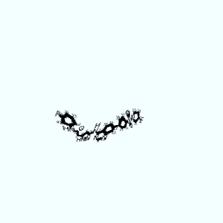 O=C(Cc1cc(Nc2ncnc3cc(-c4ccc(S(=O)(=O)N5CC[C@H](F)C5)cc4)ccc23)n[nH]1)Nc1cccc(F)c1